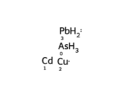 [AsH3].[Cd].[Cu].[PbH2]